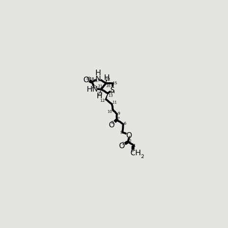 C=CC(=O)OCCC(=O)CCCC[C@@H]1SC[C@@H]2NC(=O)N[C@@H]21